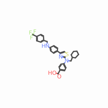 O=C(O)c1ccc(N(CC2CCCCC2)c2nc(-c3ccc(NCc4ccc(C(F)(F)F)cc4)cc3)cs2)cc1